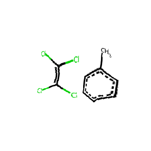 Cc1ccccc1.ClC(Cl)=C(Cl)Cl